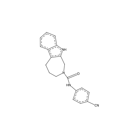 N#Cc1ccc(NC(=O)N2CCCc3c([nH]c4ccccc34)C2)cc1